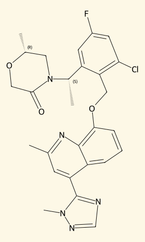 Cc1cc(-c2ncnn2C)c2cccc(OCc3c(Cl)cc(F)cc3[C@H](C)N3C[C@@H](C)OCC3=O)c2n1